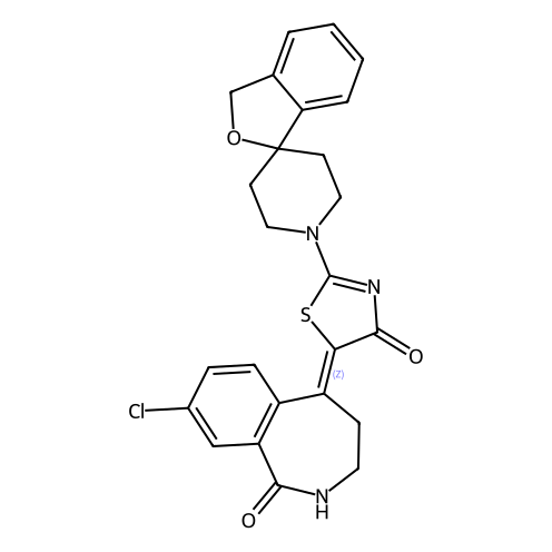 O=C1N=C(N2CCC3(CC2)OCc2ccccc23)S/C1=C1/CCNC(=O)c2cc(Cl)ccc21